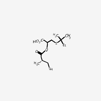 CCC(C)(C)SCC(OC(=O)[C@@H](C)CS)C(=O)O